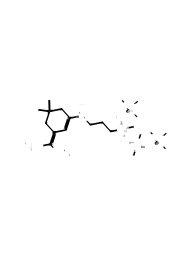 CC1(C)CC(NCCC[Si](C)(O[Si](C)(C)C)O[Si](C)(C)O[Si](C)(C)C)=CC(=C(C#N)C#N)C1